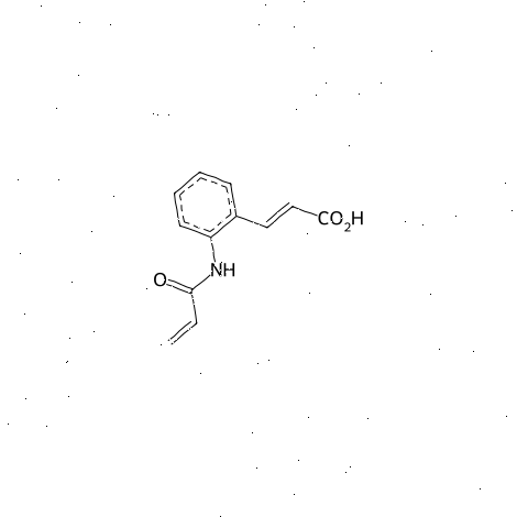 C=CC(=O)Nc1ccccc1C=CC(=O)O